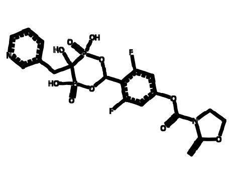 C=C1OCCN1C(=O)Oc1cc(F)c(C2OP(=O)(O)C(O)(Cc3cccnc3)P(=O)(O)O2)c(F)c1